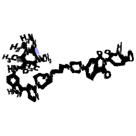 CC1=C(C(=O)Nc2ccc3[nH]nc(-c4ccnc(N5CCN(CCCN6CCN(c7ccc8c(c7)C(=O)N(C7CCC(=O)NC7=O)C8=O)CC6)CC5)c4)c3c2)[C@@H](C)N(N)/C(=N\N)N1C